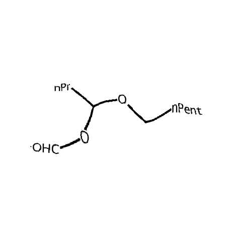 CCCCCCOC(CCC)O[C]=O